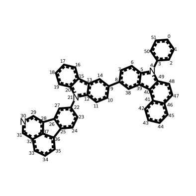 c1ccc(-n2c3ccc(-c4ccc5c(c4)c4ccccc4n5-c4ccc5c(c4)-c4cncc6cccc-5c46)cc3c3c4ccccc4ccc32)cc1